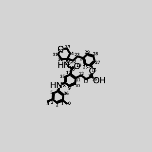 Cc1cc(C)cc(Nc2ccc(CCC(=O)O)c(C(=O)NC3(CCc4ccccc4)CCOCC3)c2)c1